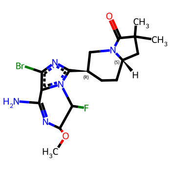 COC1N=C(N)c2c(Br)nc([C@@H]3CC[C@H]4CC(C)(C)C(=O)N4C3)n2C1F